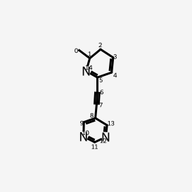 CC1CC=CC(C#Cc2cncnc2)=N1